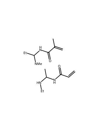 C=C(C)C(=O)NC(CC)NC.C=CC(=O)NC(C)NCC